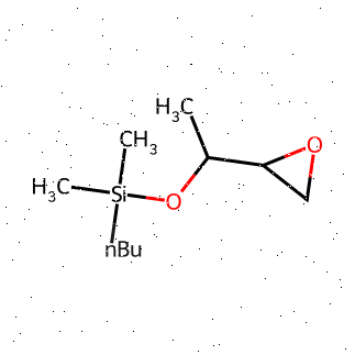 CCCC[Si](C)(C)OC(C)C1CO1